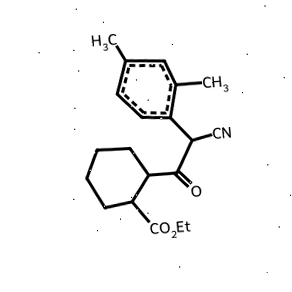 CCOC(=O)C1CCCCC1C(=O)C(C#N)c1ccc(C)cc1C